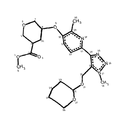 COC(=O)C1COCC(Oc2ccc(-c3nnn(C)c3COC3CCCCO3)nc2C)C1